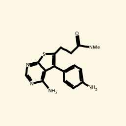 CNC(=O)CCc1sc2ncnc(N)c2c1-c1ccc(N)cc1